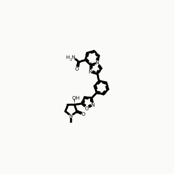 CN1CC[C@@](O)(c2cc(-c3cccc(-c4cn5cccc(C(N)=O)c5n4)c3)no2)C1=O